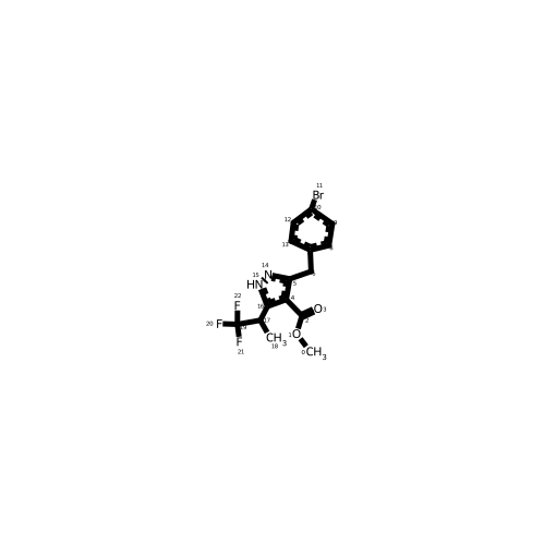 COC(=O)c1c(Cc2ccc(Br)cc2)n[nH]c1C(C)C(F)(F)F